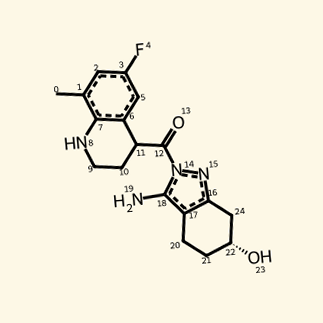 Cc1cc(F)cc2c1NCCC2C(=O)n1nc2c(c1N)CC[C@@H](O)C2